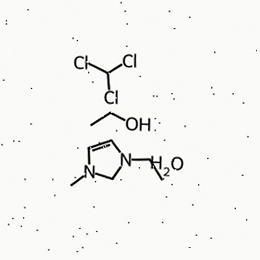 CCN1C=CN(C)C1.CCO.ClC(Cl)Cl.O